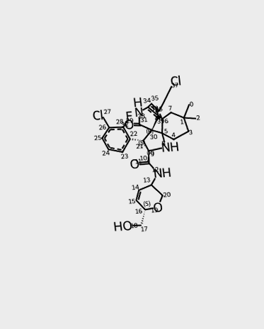 CC1(C)CCC2(CC1)N[C@@H](C(=O)NC1C=C[C@@H](CO)OC1)[C@H](c1cccc(Cl)c1F)[C@]21C(=O)Nc2cc(Cl)ccc21